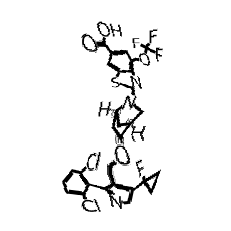 O=C(O)c1cc(OC(F)(F)F)c2nc(N3C[C@@H]4C[C@H]3C[C@H]4OCC3=C(C4(F)CC4)CN=C3c3c(Cl)cccc3Cl)sc2c1